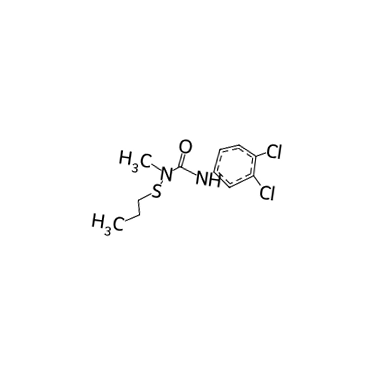 CCCSN(C)C(=O)Nc1ccc(Cl)c(Cl)c1